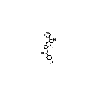 COc1ccc(C(O)C[C@H]2CCC3=C2[C@@H](C)C2=CNN(c4cccnc4)C2=C3)cc1